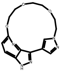 c1nn2cc1-c1n[nH]c3ccc(nc13)OCCOCCOCC2